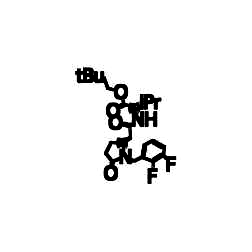 CC(C)[C@H](NC(=O)C[C@@H]1CCC(=O)N1Cc1cccc(F)c1F)C(=O)OCCC(C)(C)C